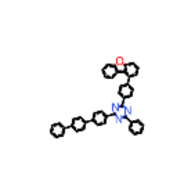 c1ccc(-c2ccc(-c3ccc(-c4nc(-c5ccccc5)nc(-c5ccc(-c6cccc7oc8ccccc8c67)cc5)n4)cc3)cc2)cc1